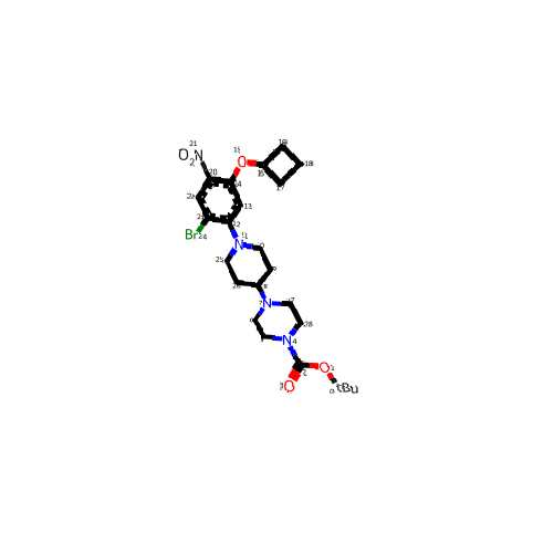 CC(C)(C)OC(=O)N1CCN(C2CCN(c3cc(OC4CCC4)c([N+](=O)[O-])cc3Br)CC2)CC1